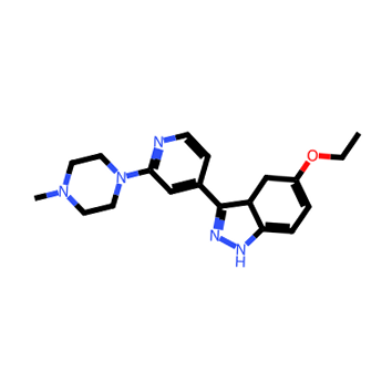 CCOC1=CC=C2NN=C(c3ccnc(N4CCN(C)CC4)c3)C2C1